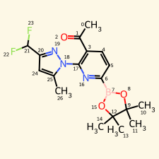 CC(=O)c1ccc(B2OC(C)(C)C(C)(C)O2)nc1-n1nc(C(F)F)cc1C